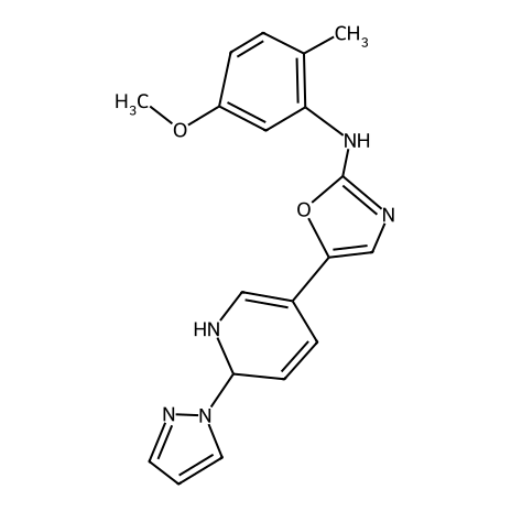 COc1ccc(C)c(Nc2ncc(C3=CNC(n4cccn4)C=C3)o2)c1